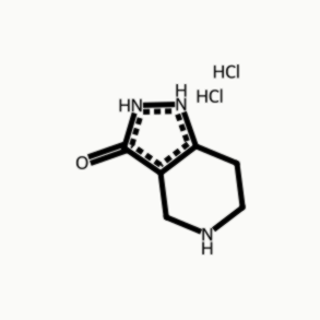 Cl.Cl.O=c1[nH][nH]c2c1CNCC2